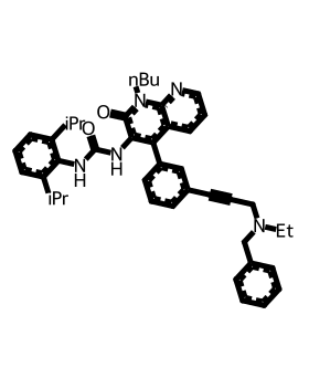 CCCCn1c(=O)c(NC(=O)Nc2c(C(C)C)cccc2C(C)C)c(-c2cccc(C#CCN(CC)Cc3ccccc3)c2)c2cccnc21